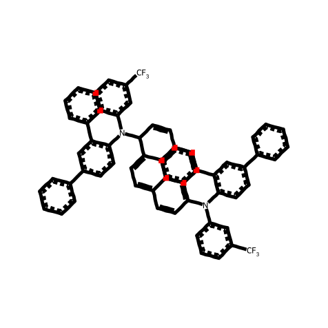 FC(F)(F)c1cccc(N(C2=C3C=CC4=C5C(=CC=C(C=C2)C35)C(N(c2cccc(C(F)(F)F)c2)c2ccc(-c3ccccc3)cc2-c2ccccc2)C=C4)c2ccc(-c3ccccc3)cc2-c2ccccc2)c1